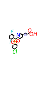 O=C(O)/C=C/c1ccc(C(c2cc(F)ccc2F)S(=O)(=O)c2ccc(Cl)cc2)nc1